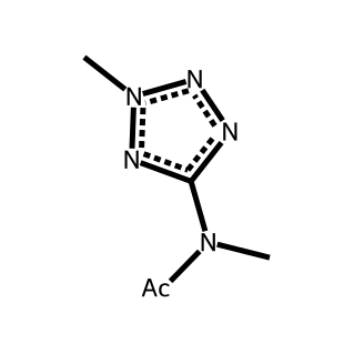 CC(=O)N(C)c1nnn(C)n1